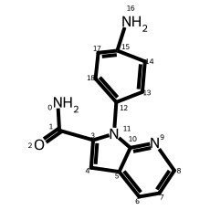 NC(=O)c1cc2cccnc2n1-c1ccc(N)cc1